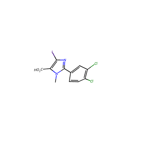 Cn1c(-c2ccc(Cl)c(Cl)c2)nc(I)c1C(=O)O